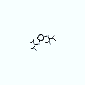 CN(C)C(=Nc1cccc(N=C(N(C)C)N(C)C)c1)N(C)C